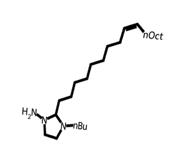 CCCCCCCC/C=C\CCCCCCCCC1N(N)CCN1CCCC